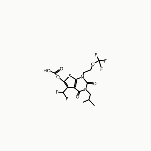 CC(C)Cn1c(=O)c2c(C(F)F)c(OC(=O)O)sc2n(CCOC(F)(F)F)c1=O